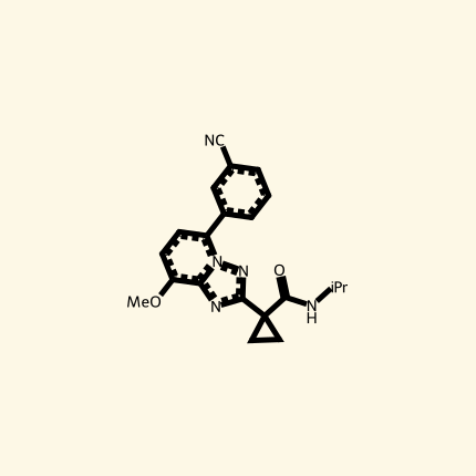 COc1ccc(-c2cccc(C#N)c2)n2nc(C3(C(=O)NC(C)C)CC3)nc12